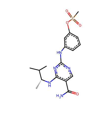 CC(C)[C@@H](C)Nc1nc(Nc2cccc(OS(C)(=O)=O)c2)ncc1C(N)=O